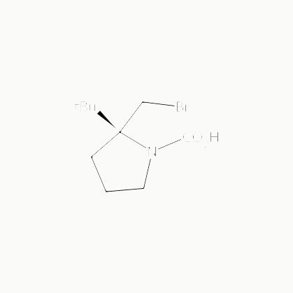 CC(C)(C)[C@]1(CBr)CCCN1C(=O)O